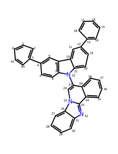 c1ccc(-c2ccc3c(c2)c2cc(-c4ccccc4)ccc2n3-c2cn3c4ccccc4nc3c3ccccc23)cc1